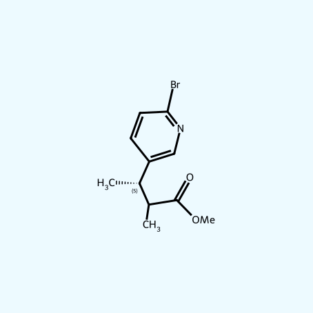 COC(=O)C(C)[C@H](C)c1ccc(Br)nc1